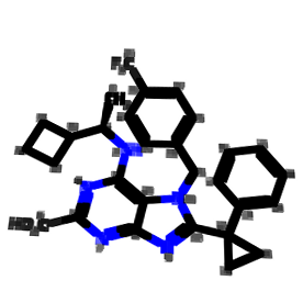 C[C@@H](Nc1nc(C(=O)O)nc2nc(C3(c4ccccc4)CC3)n(Cc3ccc(C(F)(F)F)cc3)c12)C1CCC1